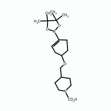 CC1(C)OB(C2=CCC(OCC3CCN(C(=O)O)CC3)CC2)OC1(C)C